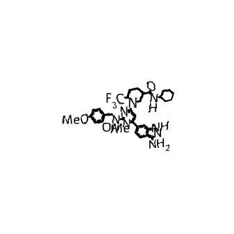 COc1ccc(CNc2nc(-c3ccc4c(N)n[nH]c4c3)cc(N3CC(C(=O)NC4CCCCC4)CCC3C(F)(F)F)n2)c(OC)c1